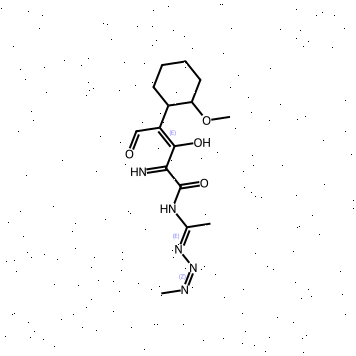 C/N=N\N=C(/C)NC(=O)C(=N)/C(O)=C(\C=O)C1CCCCC1OC